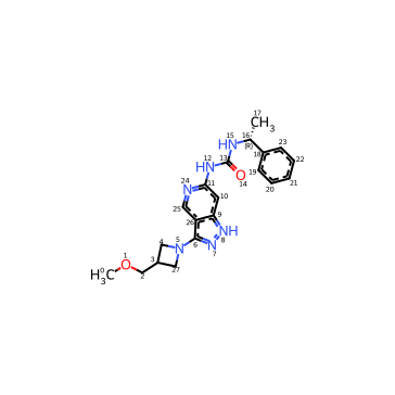 COCC1CN(c2n[nH]c3cc(NC(=O)N[C@H](C)c4ccccc4)ncc23)C1